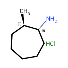 C[C@@H]1CCCCC[C@H]1N.Cl